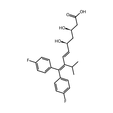 CC(C)C(/C=C/[C@@H](O)C[C@@H](O)CC(=O)O)=C(c1ccc(F)cc1)c1ccc(F)cc1